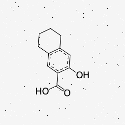 O=C(O)c1cc2c(cc1O)CCCC2